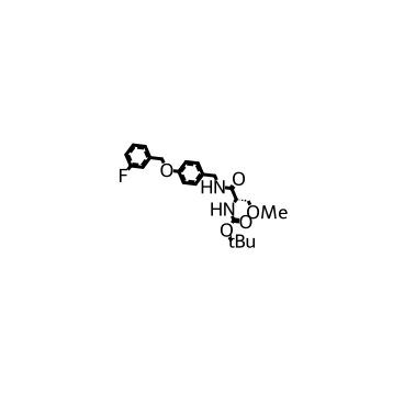 COC[C@H](NC(=O)OC(C)(C)C)C(=O)NCc1ccc(OCc2cccc(F)c2)cc1